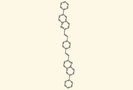 C(=C\c1ccc2cc(-c3ccccc3)ccc2n1)/c1ccc(/C=C/c2ccc3cc(-c4ccccc4)ccc3n2)cc1